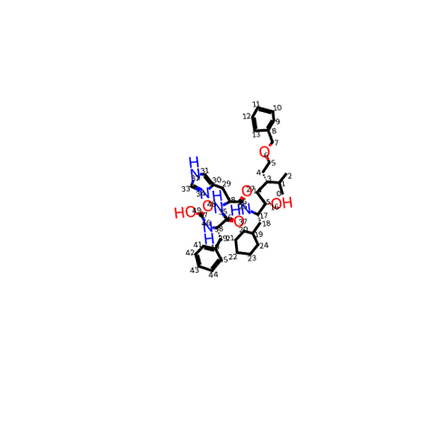 CC(C)[C@@H](CCOCc1ccccc1)C[C@H](O)[C@H](CC1CCCCC1)NC(=O)C(Cc1c[nH]cn1)NC(=O)[C@H](Cc1ccccc1)NC(=O)O